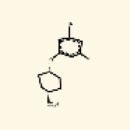 O=C(O)[C@H]1CC[C@H](Oc2cc(F)cc(Br)c2)CC1